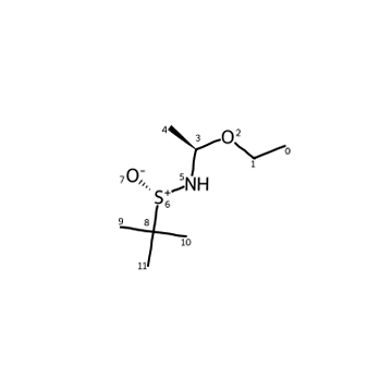 CCO[C@H](C)N[S@@+]([O-])C(C)(C)C